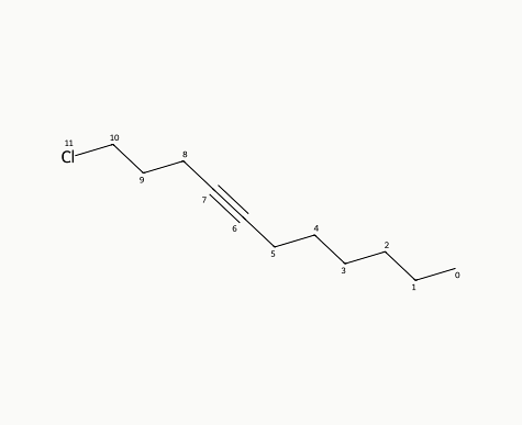 CCCCCCC#CCCCCl